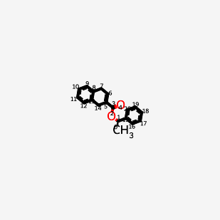 C[C@@H](OC(=O)C1=CCc2ccccc2C1)c1ccccc1